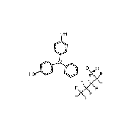 O=S(=O)([O-])C(F)(F)C(F)(F)C(F)(F)C(F)(F)F.Oc1ccc([S+](c2ccccc2)c2ccc(O)cc2)cc1